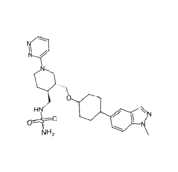 Cn1ncc2cc(C3CCC(OC[C@H]4CN(c5cccnn5)CC[C@@H]4CNS(N)(=O)=O)CC3)ccc21